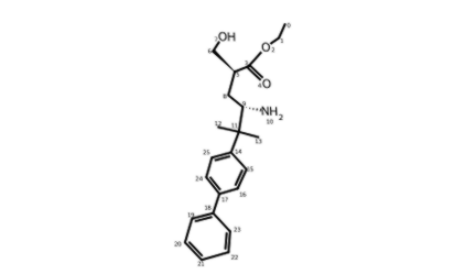 CCOC(=O)[C@H](CO)C[C@H](N)C(C)(C)c1ccc(-c2ccccc2)cc1